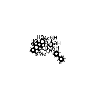 COc1cccc2c1C(=O)c1c(O)c3c(c(O)c1C2=O)C[C@@](O)(C(C)=O)C[C@@H]3OC1CC(NN(N)c2ccc(-c3ccccc3)cc2)C(O)C(C)O1.Cl